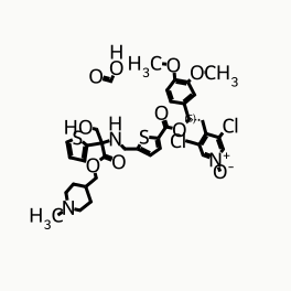 COc1ccc([C@H](Cc2c(Cl)c[n+]([O-])cc2Cl)OC(=O)c2ccc(CNC(CO)(C(=O)OCC3CCN(C)CC3)c3cccs3)s2)cc1OC.O=CO